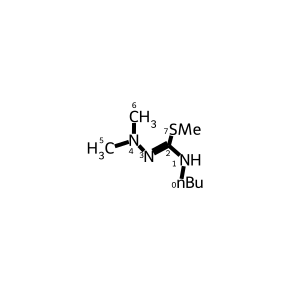 CCCCN/C(=N/N(C)C)SC